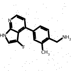 Cc1cc(-c2ccnc3[nH]cc(F)c23)ccc1CN